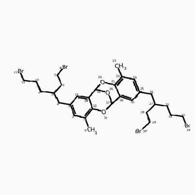 Cc1cc(CC(CCBr)CCCBr)cc2c1OC1OC2Oc2c(C)cc(CC(CCBr)CCCBr)cc21